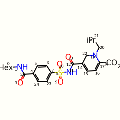 CCCCCCNC(=O)c1ccc(S(=O)(=O)NC(=O)C2=CC=C(C(=O)O)N(CC(C)C)C2)cc1